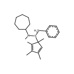 CC1=C[C](C)([Ti]([SiH2]c2ccccc2)[N](C)C2CCCCCC2)C(C)=C1C